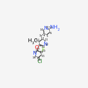 Cc1c(Cc2ccc(N)nc2)cncc1Oc1ncc(Cl)cc1F